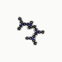 c1ccc(-c2ccc(N(c3ccc(-c4ccccc4)cc3)c3ccc(-c4ccc(N(c5ccc(-c6ccccc6)cc5)c5ccc(-c6cccc(-c7cc(N(c8ccccc8)c8ccc(-c9ccc(N(c%10ccc(-c%11ccccc%11)cc%10)c%10ccc(-c%11ccccc%11)cc%10)cc9)cc8)c8ccccc8c7)c6)cc5)cc4)cc3)cc2)cc1